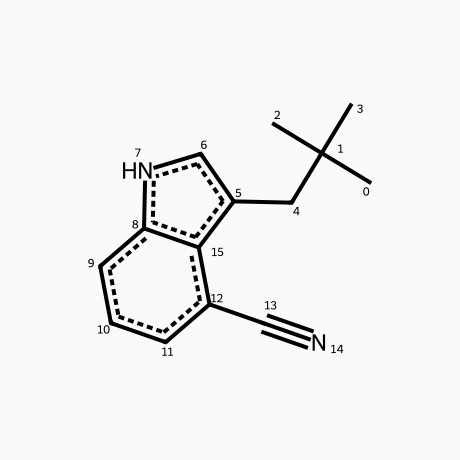 CC(C)(C)Cc1c[nH]c2cccc(C#N)c12